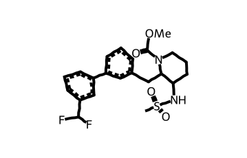 COC(=O)N1CCCC(NS(C)(=O)=O)C1Cc1cccc(-c2cccc(C(F)F)c2)c1